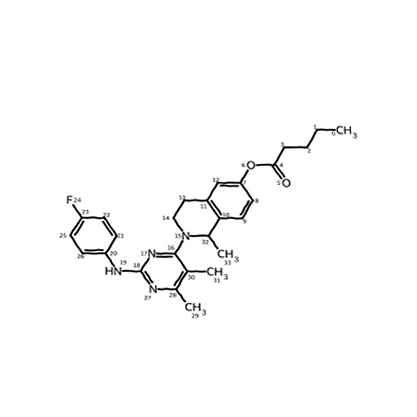 CCCCC(=O)Oc1ccc2c(c1)CCN(c1nc(Nc3ccc(F)cc3)nc(C)c1C)C2C